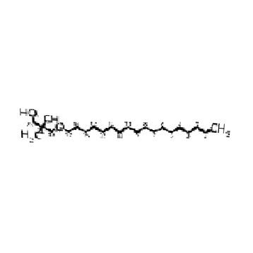 CCCCCCCCCCCCCCCCCCOCC(C)(C)CO